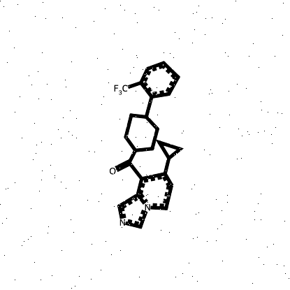 O=C(c1c(C2CC2)ccn2cncc12)C1CCC(c2ccccc2C(F)(F)F)CC1